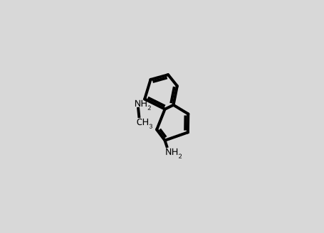 CN.Nc1ccc2ccccc2c1